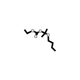 CCCCOC(C)(C)OC(=O)OCC